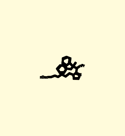 CCCCCCCCCCCCCCCCn1ccnc1C(CCC)C(C)(Cc1ccccc1)c1ccccc1